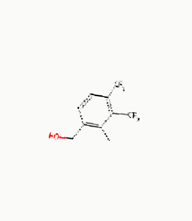 Cc1c(CO)ccc(C(F)(F)F)c1C(F)(F)F